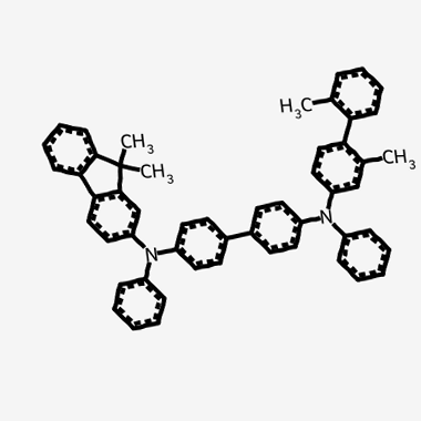 Cc1ccccc1-c1ccc(N(c2ccccc2)c2ccc(-c3ccc(N(c4ccccc4)c4ccc5c(c4)C(C)(C)c4ccccc4-5)cc3)cc2)cc1C